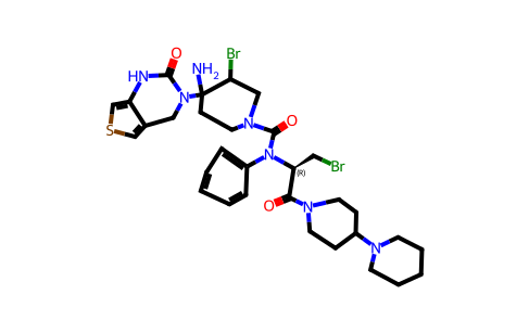 NC1(N2Cc3cscc3NC2=O)CCN(C(=O)N(c2ccccc2)[C@@H](CBr)C(=O)N2CCC(N3CCCCC3)CC2)CC1Br